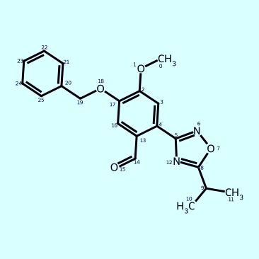 COc1cc(-c2noc(C(C)C)n2)c(C=O)cc1OCc1ccccc1